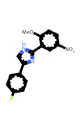 COc1ccc([N+](=O)[O-])cc1-c1nc(-c2ccc(F)cc2)c[nH]1